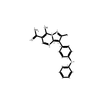 Cc1nn2c(O)c(C(N)=O)cnc2c1-c1ccc(Sc2ccccc2)cc1